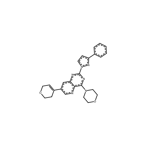 C1=C(c2cnc3c(N4CCOCC4)nc(-n4ccc(-c5ccccc5)n4)nc3c2)CCOC1